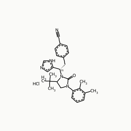 Cc1cccc(N2CC(C(C)(C)C)N([C@@H](Cc3ccc(C#N)cc3)c3cnc[nH]3)C2=O)c1C.Cl